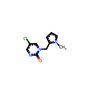 Cn1cccc1Cn1cc(Cl)cnc1=O